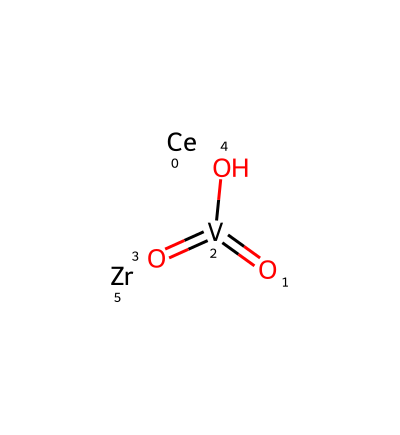 [Ce].[O]=[V](=[O])[OH].[Zr]